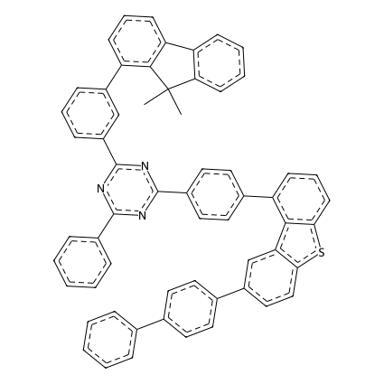 CC1(C)c2ccccc2-c2cccc(-c3cccc(-c4nc(-c5ccccc5)nc(-c5ccc(-c6cccc7sc8ccc(-c9ccc(-c%10ccccc%10)cc9)cc8c67)cc5)n4)c3)c21